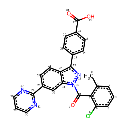 Cc1cccc(Cl)c1C(=O)n1nc(-c2ccc(C(=O)O)cc2)c2ccc(-c3ncccn3)cc21